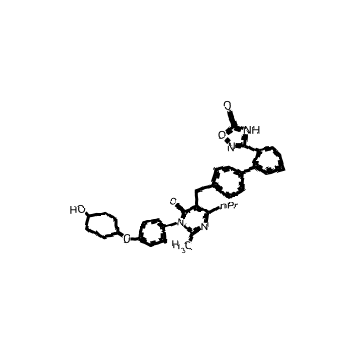 CCCc1nc(C)n(-c2ccc(OC3CCC(O)CC3)cc2)c(=O)c1Cc1ccc(-c2ccccc2-c2noc(=O)[nH]2)cc1